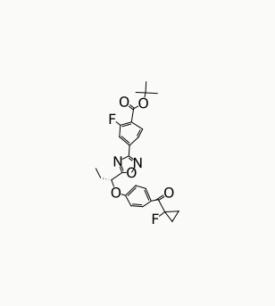 CC[C@@H](Oc1ccc(C(=O)C2(F)CC2)cc1)c1nc(-c2ccc(C(=O)OC(C)(C)C)c(F)c2)no1